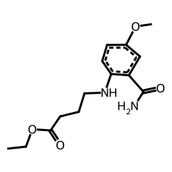 CCOC(=O)CCCNc1ccc(OC)cc1C(N)=O